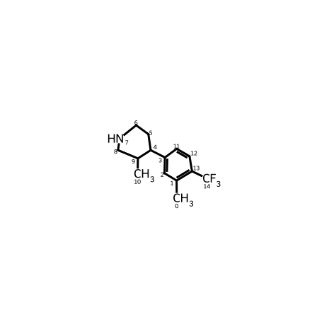 Cc1cc(C2CCNCC2C)ccc1C(F)(F)F